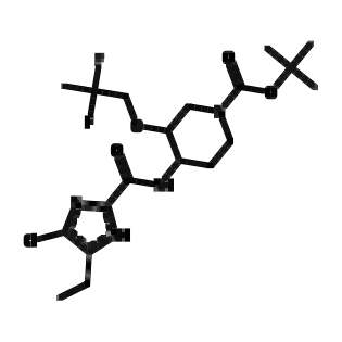 CCc1[nH]c(C(=O)NC2CCN(C(=O)OC(C)(C)C)CC2OCC(C)(F)F)nc1Cl